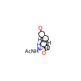 CC(=O)NNC[C@]12CC[C@H]3[C@@H](CCC4CC(=O)CC[C@@]43C)[C@@H]1CCC2=O